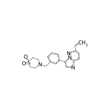 C=Cc1ccc2ncc(-c3cccc(CN4CCS(=O)(=O)CC4)c3)n2n1